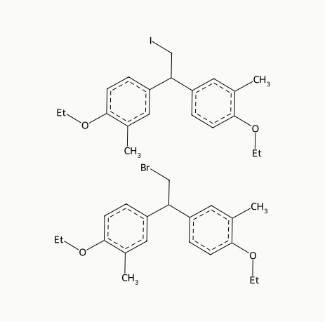 CCOc1ccc(C(CBr)c2ccc(OCC)c(C)c2)cc1C.CCOc1ccc(C(CI)c2ccc(OCC)c(C)c2)cc1C